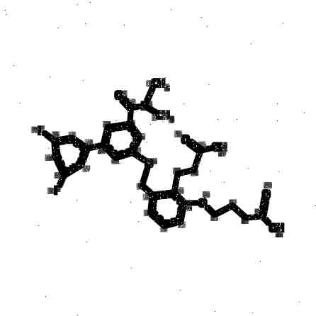 CN(C)C(=O)c1cc(OCc2cccc(OCCCC(=O)O)c2CCC(=O)O)cc(-c2cc(F)cc(F)c2)c1